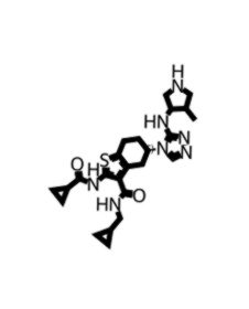 CC1CNCC1Nc1nncn1[C@H]1CCc2sc(NC(=O)C3CC3)c(C(=O)NCC3CC3)c2C1